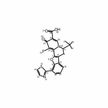 CC(C)(C)C1Cc2c(oc3c(-c4nccs4)cccc23)-c2c(F)c(=O)c(C(=O)O)cn21